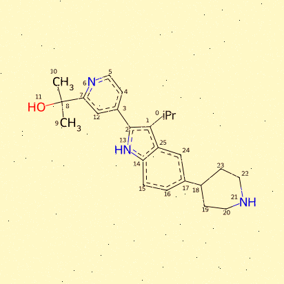 CC(C)c1c(-c2ccnc(C(C)(C)O)c2)[nH]c2ccc(C3CCNCC3)cc12